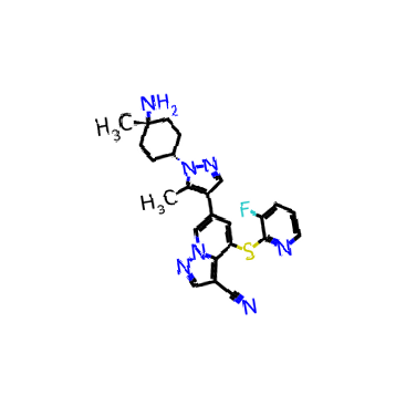 Cc1c(-c2cc(Sc3ncccc3F)c3c(C#N)cnn3c2)cnn1[C@H]1CC[C@@](C)(N)CC1